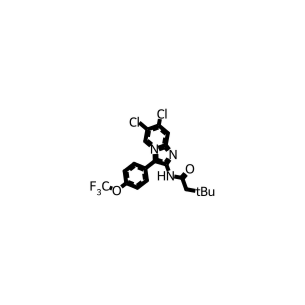 CC(C)(C)CC(=O)Nc1nc2cc(Cl)c(Cl)cn2c1-c1ccc(OC(F)(F)F)cc1